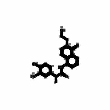 CC(C(=O)Nc1cccc2c(=O)n(CCO)ccc12)c1ccc(Cl)c(C(F)(F)F)c1